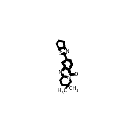 CC1(C)CCc2nc3cc(-c4nc5c(s4)CCC5)ccc3c(=O)n2C1